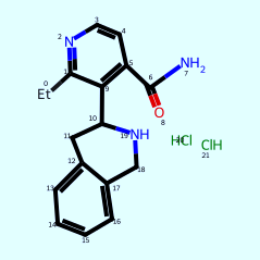 CCc1nccc(C(N)=O)c1C1Cc2ccccc2CN1.Cl.Cl